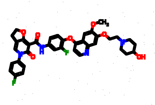 COc1cc2c(Oc3ccc(NC(=O)c4c5c(cn(-c6ccc(F)cc6)c4=O)CCO5)cc3F)ccnc2cc1OCCN1CCC(O)CC1